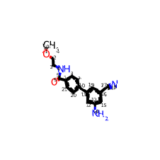 COCCNC(=O)c1ccc(-c2cc(N)cc(C#N)c2)cc1